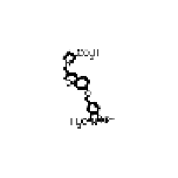 Cc1nn(C(C)C)c2ccc(COc3ccc4c(c3)OCC(CN3CC[C@H](C(=O)O)C3)=C4)cc12